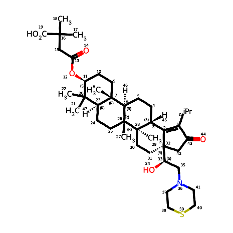 CC(C)C1=C2[C@H]3CC[C@@H]4[C@@]5(C)CC[C@H](OC(=O)CC(C)(C)C(=O)O)C(C)(C)[C@@H]5CC[C@@]4(C)[C@]3(C)CC[C@@]2([C@H](O)CN2CCSCC2)CC1=O